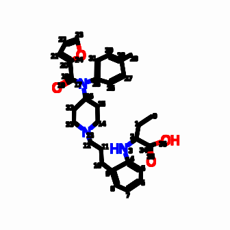 CCC(Nc1ccccc1CCCN1CCC(N(C(=O)c2ccco2)c2ccc(C)cc2)CC1)C(=O)O